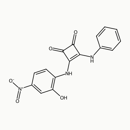 O=c1c(Nc2ccccc2)c(Nc2ccc([N+](=O)[O-])cc2O)c1=O